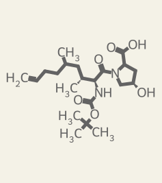 C=CCCC(C)C[C@@H](C)[C@H](NC(=O)OC(C)(C)C)C(=O)N1C[C@H](O)CC1C(=O)O